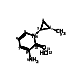 C[C@H]1C[C@H]1n1cccc(N)c1=O.Cl